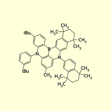 Cc1cc2c3c(c1)N(c1ccc4c(c1)C(C)(C)CCC4(C)C)c1cc4c(cc1B3c1ccc(C(C)(C)C)cc1N2c1cccc(C(C)(C)C)c1)C(C)(C)CCC4(C)C